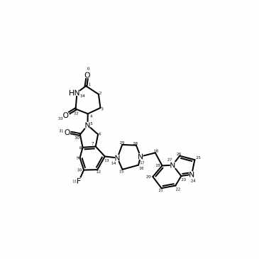 O=C1CCC(N2Cc3c(cc(F)cc3N3CCN(Cc4cccc5nccn45)CC3)C2=O)C(=O)N1